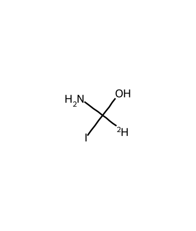 [2H]C(N)(O)I